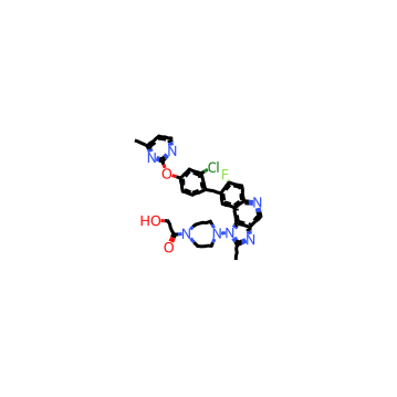 Cc1ccnc(Oc2ccc(-c3cc4c(cc3F)ncc3nc(C)n(N5CCN(C(=O)CO)CC5)c34)c(Cl)c2)n1